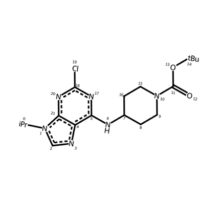 CC(C)n1cnc2c(NC3CCN(C(=O)OC(C)(C)C)CC3)nc(Cl)nc21